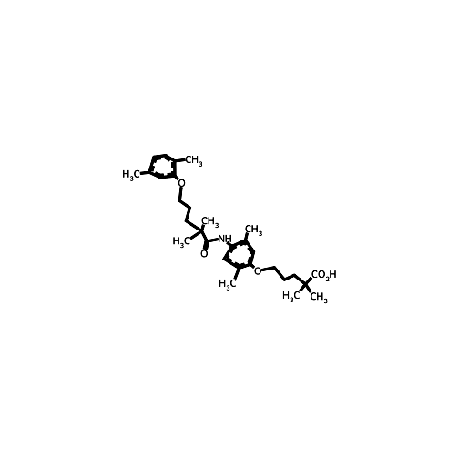 Cc1ccc(C)c(OCCCC(C)(C)C(=O)Nc2cc(C)c(OCCCC(C)(C)C(=O)O)cc2C)c1